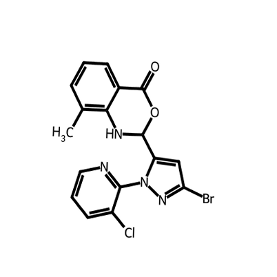 Cc1cccc2c1NC(c1cc(Br)nn1-c1ncccc1Cl)OC2=O